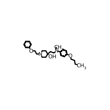 CCCCOc1ccc(N(C)CCC2(O)CCN(CCOc3ccccc3)CC2)cc1